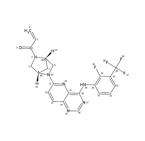 C=CC(=O)N1C[C@@H]2C[C@H]1CN2c1ccc2ncnc(Nc3cccc(C(F)(F)F)c3F)c2n1